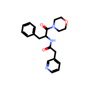 O=C(Cc1cccnc1)NC(Cc1ccccc1)C(=O)N1CCOCC1